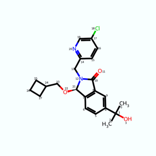 CC(C)(O)c1ccc2c(c1)C(=O)N(Cc1ccc(Cl)cn1)[C@@H]2OCC1CCC1